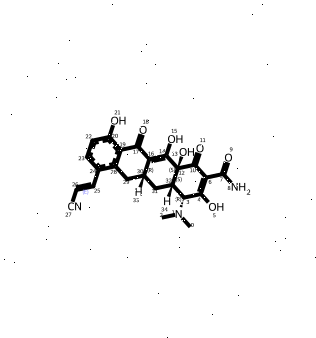 CN(C)[C@H]1C(O)=C(C(N)=O)C(=O)[C@@]2(O)C(O)=C3C(=O)c4c(O)ccc(/C=C/C#N)c4C[C@H]3C[C@@H]12